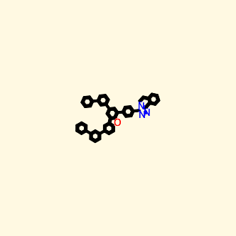 c1ccc(-c2cccc(-c3ccc4oc5c(-c6ccc(-c7nnc8c9ccccc9ccn78)cc6)cc(-c6cccc(-c7ccccc7)c6)cc5c4c3)c2)cc1